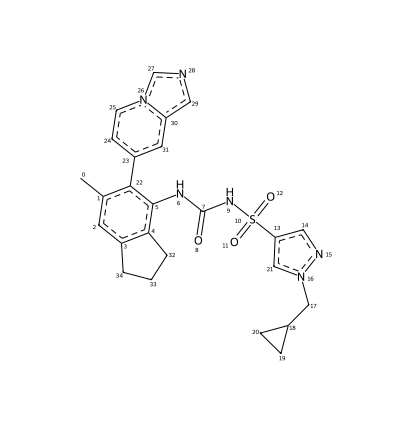 Cc1cc2c(c(NC(=O)NS(=O)(=O)c3cnn(CC4CC4)c3)c1-c1ccn3cncc3c1)CCC2